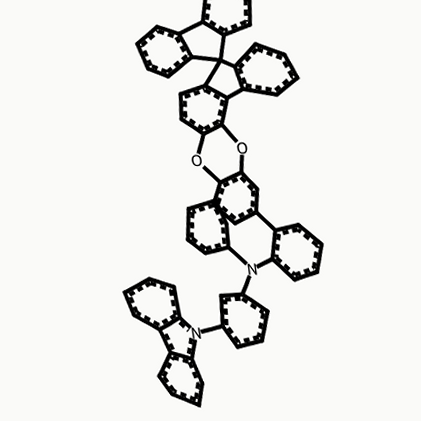 c1ccc(N(c2cccc(-n3c4ccccc4c4ccccc43)c2)c2ccccc2-c2ccc3c(c2)Oc2c(ccc4c2-c2ccccc2C42c4ccccc4-c4ccccc42)O3)cc1